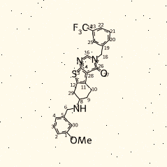 COc1cccc(CNC2CCc3c(sc4ncn(Cc5cccc(C(F)(F)F)c5)c(=O)c34)C2)c1